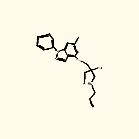 CCCNCC(O)(CF)CNc1cc(C)cc2c1cnn2-c1ccccc1